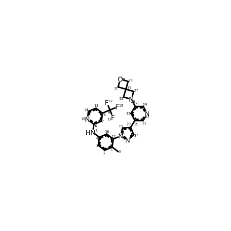 Cc1ccc(Nc2cc(C(F)(F)F)ccn2)cc1-n1cc(-c2cncc(N3CC4(COC4)C3)c2)cn1